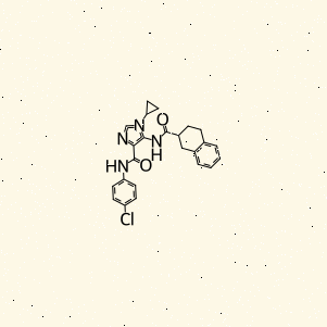 O=C(Nc1ccc(Cl)cc1)c1ncn(C2CC2)c1NC(=O)C1CCc2ccccc2C1